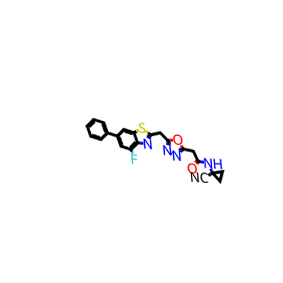 N#CC1(NC(=O)Cc2nnc(Cc3nc4c(F)cc(-c5ccccc5)cc4s3)o2)CC1